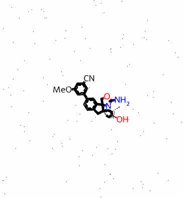 COc1cc(C#N)cc(-c2ccc3c(c2)C2(COC(N)=N2)[C@]2(CC[C@H](O)[C@@H](C)C2)C3)c1